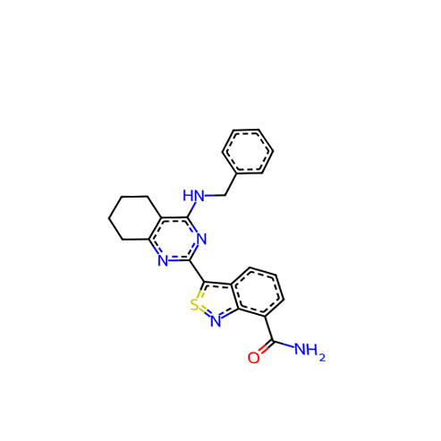 NC(=O)c1cccc2c(-c3nc4c(c(NCc5ccccc5)n3)CCCC4)snc12